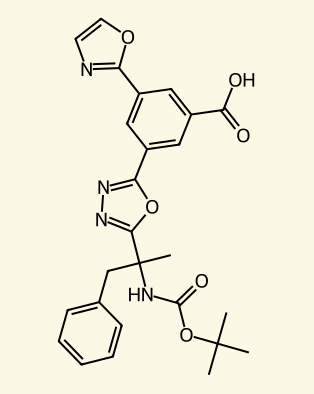 CC(C)(C)OC(=O)NC(C)(Cc1ccccc1)c1nnc(-c2cc(C(=O)O)cc(-c3ncco3)c2)o1